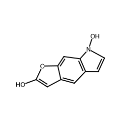 Oc1cc2cc3ccn(O)c3cc2o1